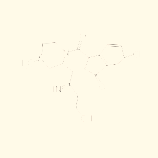 CCCC(=N)CC1CN(C)CCN1C(=O)C1CC(=O)c2cc(Cl)ccc21